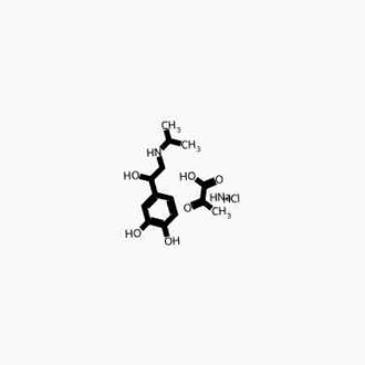 CC(=O)C(=O)O.CC(C)NCC(O)c1ccc(O)c(O)c1.Cl.[NaH]